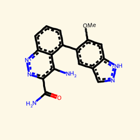 COc1cc2[nH]ncc2cc1-c1cccc2nnc(C(N)=O)c(N)c12